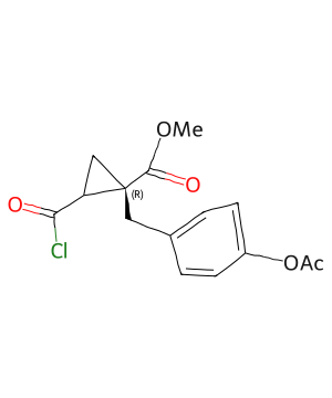 COC(=O)[C@@]1(Cc2ccc(OC(C)=O)cc2)CC1C(=O)Cl